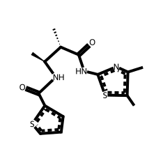 Cc1nc(NC(=O)[C@@H](C)[C@H](C)NC(=O)c2cccs2)sc1C